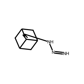 N=NNC1=C2C3CC(C1)CC2C3